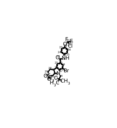 CC(C)(C)CN1c2c(Br)cc(C(=O)Nc3ccc(OC(F)(F)Cl)cc3)cc2C2CCS(=O)(=O)CC21